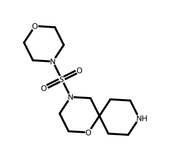 O=S(=O)(N1CCOCC1)N1CCOC2(CCNCC2)C1